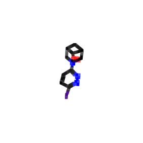 OC1C2CC1CN(c1ccc(I)nn1)C2